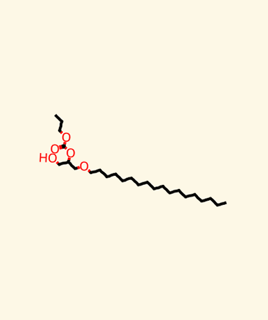 CCCCCCCCCCCCCCCCCCOCC(CO)OC(=O)OCCC